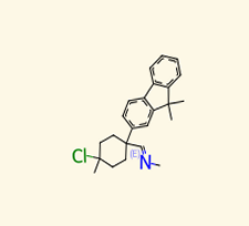 C/N=C/C1(c2ccc3c(c2)C(C)(C)c2ccccc2-3)CCC(C)(Cl)CC1